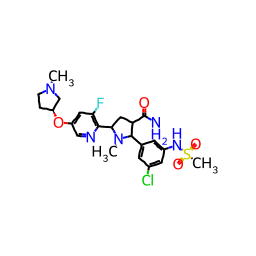 CN1CC[C@H](Oc2cnc(C3CC(C(N)=O)C(c4cc(Cl)cc(NS(C)(=O)=O)c4)N3C)c(F)c2)C1